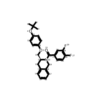 CC(C)(C)Oc1ccc(OC[C@@H]2Cc3ccccc3CN2C(=O)c2ccc(F)c(F)c2)cc1